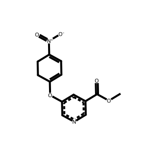 COC(=O)c1cncc(OC2=CC=C([N+](=O)[O-])CC2)c1